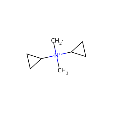 [CH2][N+](C)(C1CC1)C1CC1